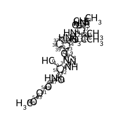 C#Cc1cc(Nc2nccc(Oc3ccc(NC(=O)Nc4cc(C(C)(C)C)cc(NSC)c4OC)c4ccccc34)n2)cc(C(=O)NCCOCCOCCOC)c1